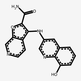 NC(=O)c1oc2cnccc2c1Nc1cnc2c(O)cccc2c1